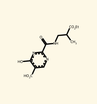 CCOC(=O)C(C)CNC(=O)c1ncc(C(=O)O)c(O)n1